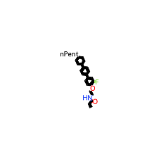 C=CC(=O)NCCOc1ccc(-c2ccc(C3CCC(CCCCC)CC3)cc2)cc1F